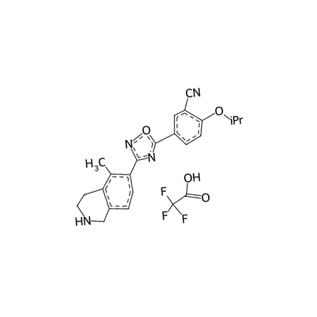 Cc1c(-c2noc(-c3ccc(OC(C)C)c(C#N)c3)n2)ccc2c1CCNC2.O=C(O)C(F)(F)F